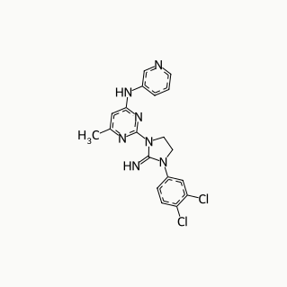 Cc1cc(Nc2cccnc2)nc(N2CCN(c3ccc(Cl)c(Cl)c3)C2=N)n1